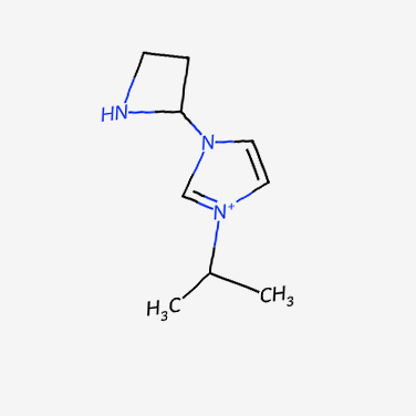 CC(C)[n+]1ccn(C2CCN2)c1